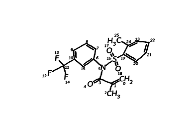 C=C(C)C(=O)N(c1cccc(C(F)(F)F)c1)S(=O)(=O)c1ccccc1C